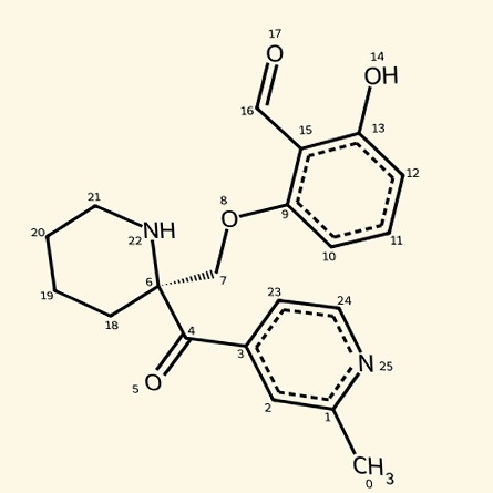 Cc1cc(C(=O)[C@@]2(COc3cccc(O)c3C=O)CCCCN2)ccn1